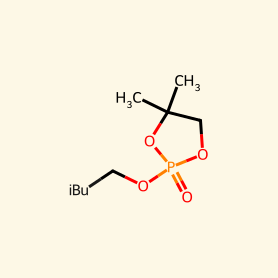 CCC(C)COP1(=O)OCC(C)(C)O1